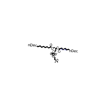 CCCCCCCCCCC/C=C/C=C/C(=O)O[C@H](COC(=O)CCCCCCCCCCCCCCCCC)COP(=O)([O-])OCC[N+](C)(C)C